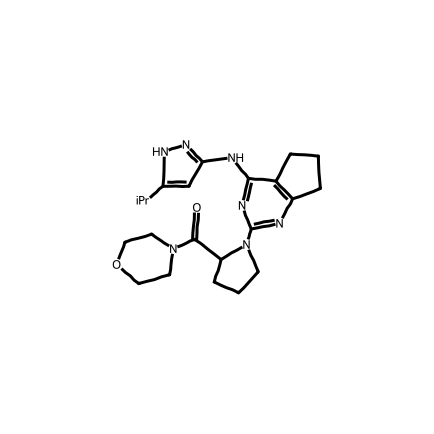 CC(C)c1cc(Nc2nc(N3CCCC3C(=O)N3CCOCC3)nc3c2CCC3)n[nH]1